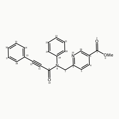 COC(=O)c1ccc(CN(C(=O)C#Cc2ccccc2)c2ccccc2)nc1